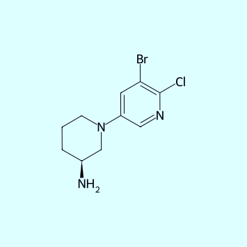 N[C@H]1CCCN(c2cnc(Cl)c(Br)c2)C1